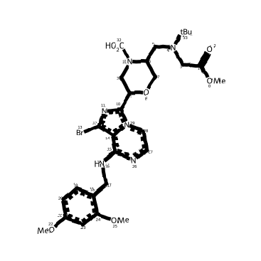 COC(=O)CN(CC1COC(c2nc(Br)c3c(NCc4ccc(OC)cc4OC)nccn23)CN1C(=O)O)C(C)(C)C